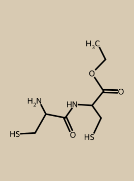 CCOC(=O)C(CS)NC(=O)C(N)CS